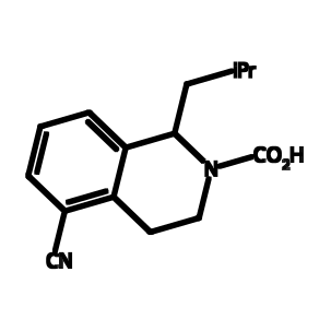 CC(C)CC1c2cccc(C#N)c2CCN1C(=O)O